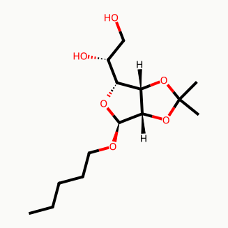 CCCCCO[C@H]1O[C@H]([C@H](O)CO)[C@@H]2OC(C)(C)O[C@H]12